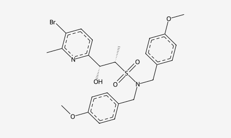 COc1ccc(CN(Cc2ccc(OC)cc2)S(=O)(=O)[C@@H](C)[C@H](O)c2ccc(Br)c(C)n2)cc1